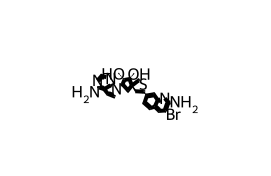 Nc1nc2cc([C@@H]3C[C@@]4(CS3)C[C@@H](n3ccc5c(N)ncnc53)[C@H](O)[C@@H]4O)ccc2cc1Br